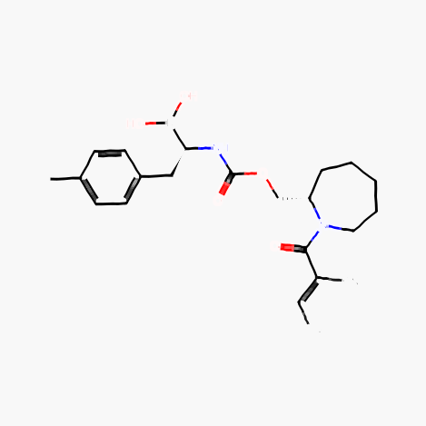 Cc1ccc(C[C@H](NC(=O)OC[C@@H]2CCCCCN2C(=O)/C(C#N)=C/C(C)(C)C)B(O)O)cc1